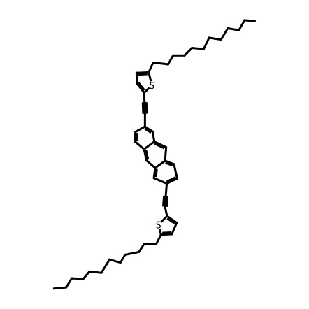 CCCCCCCCCCCCc1ccc(C#Cc2ccc3cc4cc(C#Cc5ccc(CCCCCCCCCCCC)s5)ccc4cc3c2)s1